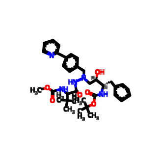 COC(=O)NC(C(=O)NN(Cc1ccc(-c2ccccn2)cc1)C[C@@H](O)[C@H](Cc1ccccc1)NC(=O)OC(C)(C)C)C(C)(C)C